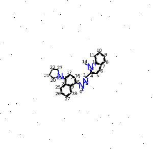 CN(/N=C/c1ccc2ccccc2[n+]1C)c1ccc(N2CCCC2)c2ccccc12